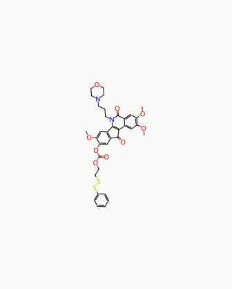 COc1cc2c3c(n(CCCN4CCOCC4)c(=O)c2cc1OC)-c1cc(OC)c(OC(=O)OCCSSc2ccccc2)cc1C3=O